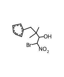 CC(C)(Cc1ccccc1)C(O)C(Br)[N+](=O)[O-]